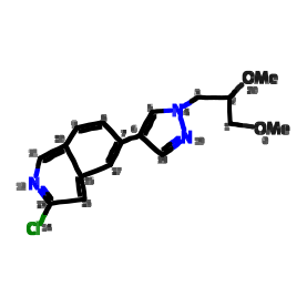 COCC(Cn1cc(-c2ccc3cnc(Cl)cc3c2)cn1)OC